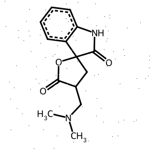 CN(C)CC1CC2(OC1=O)C(=O)Nc1ccccc12